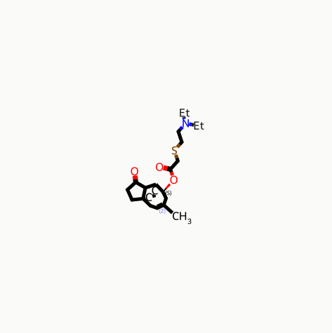 CCN(CC)CCSCC(=O)O[C@H]1C/C(C)=C\CC23CCCC1C2C(=O)CC3